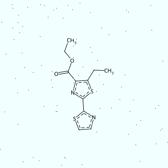 CCOC(=O)c1nc(-c2nccs2)sc1CC